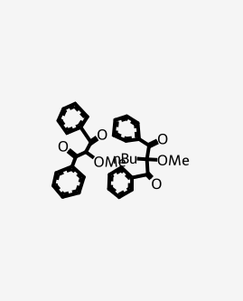 CCCCC(OC)(C(=O)c1ccccc1)C(=O)c1ccccc1.COC(C(=O)c1ccccc1)C(=O)c1ccccc1